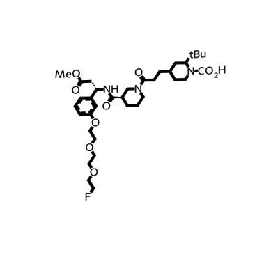 COC(=O)C[C@H](NC(=O)[C@@H]1CCCN(C(=O)CCC2CCN(C(=O)O)C(C(C)(C)C)C2)C1)c1cccc(OCCOCCOCCF)c1